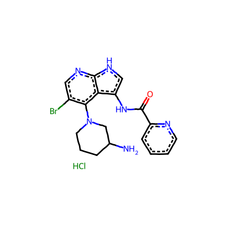 Cl.NC1CCCN(c2c(Br)cnc3[nH]cc(NC(=O)c4ccccn4)c23)C1